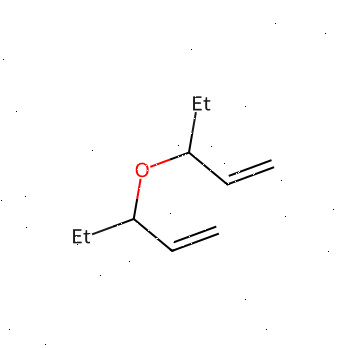 C=CC(CC)OC(C=C)CC